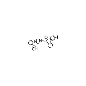 COc1ccccc1N1CCN(CCN(C(=O)c2ccc(I)cc2)C2CCCCN2)CC1